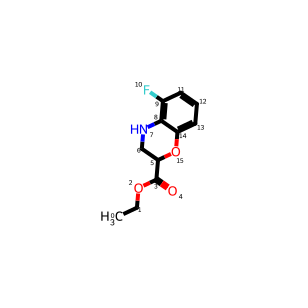 CCOC(=O)C1CNc2c(F)cccc2O1